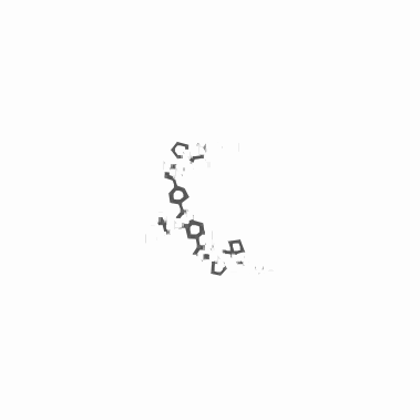 COC(=O)NC1(C(=O)N2CCC[C@H]2c2ncc(-c3ccc4nc(-c5ccc(-c6c[nH]c([C@@H]7CCCN7C(=O)[C@H](C(C)C)N(C)C(=O)O)n6)cc5)cnc4c3)[nH]2)CCC1.O=C(O)C(F)(F)F